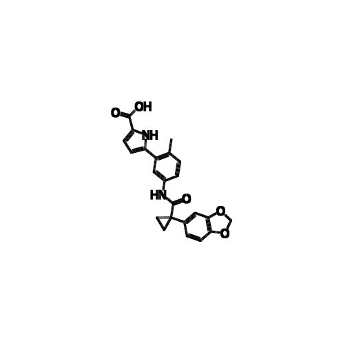 Cc1ccc(NC(=O)C2(c3ccc4c(c3)OCO4)CC2)cc1-c1ccc(C(=O)O)[nH]1